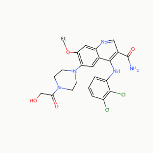 CCOc1cc2ncc(C(N)=O)c(Nc3cccc(Cl)c3Cl)c2cc1N1CCN(C(=O)CO)CC1